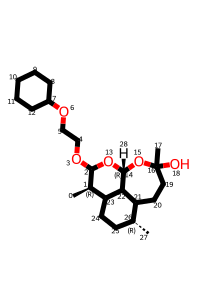 C[C@H]1C(OCCOC2CCCCC2)O[C@@H]2OC(C)(O)CCC3C2C1CC[C@H]3C